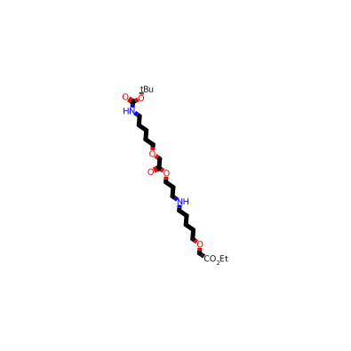 CCOC(=O)COCCCCCNCCCOC(=O)COCCCCCNC(=O)OC(C)(C)C